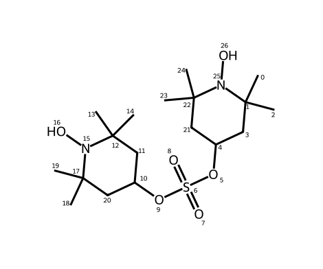 CC1(C)CC(OS(=O)(=O)OC2CC(C)(C)N(O)C(C)(C)C2)CC(C)(C)N1O